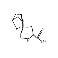 O=C(O)C1CC2(CN1)CC1CCC2C1